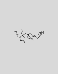 CCCCCC(CCC)C(C)(CCC)CC(O)CCCCO